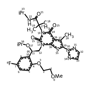 COCCOc1ccc(F)cc1[C@H](Cn1c(=O)n(C(C)(C)C(=O)NC(C)C)c(=O)c2c(C)c(-n3nccn3)sc21)OC(C)C